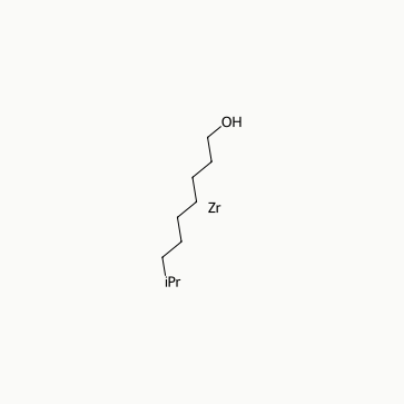 CC(C)CCCCCCCO.[Zr]